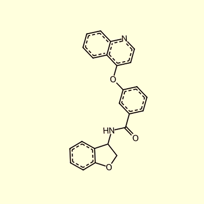 O=C(NC1COc2ccccc21)c1cccc(Oc2ccnc3ccccc23)c1